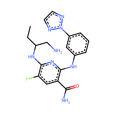 CCC(CN)Nc1nc(Nc2cccc(-n3nccn3)c2)c(C(N)=O)cc1F